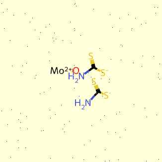 NC(=S)[S-].NC(=S)[S-].[O]=[Mo+2]